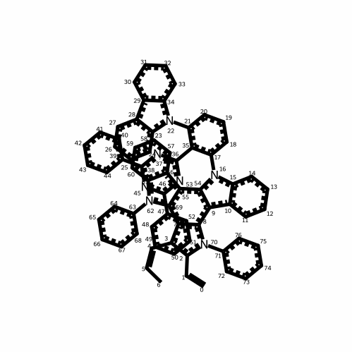 C=Cc1c(/C=C\C)c2c(c3c4ccccc4n(-c4cccc(-n5c6ccccc6c6ccccc65)c4-c4nc(-c5ccccc5)nc(-c5ccccc5)n4)c3c3c4ccccc4n(-c4ccccc4)c23)n1-c1ccccc1